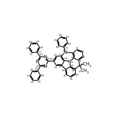 CC1(C)c2cccc3c2-n2c4c(cc(-c5nc(-c6ccccc6)nc(-c6ccccc6)n5)cc4c4cccc1c42)N3c1ccccc1